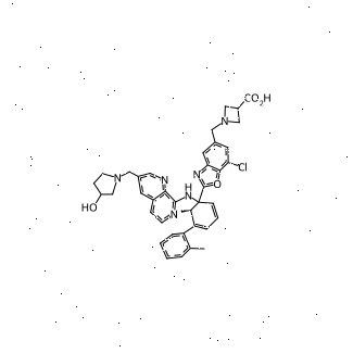 Cc1ccccc1C1=CC=CC(Nc2nccc3cc(CN4CCC(O)C4)cnc23)(c2nc3cc(CN4CC(C(=O)O)C4)cc(Cl)c3o2)[C@@H]1C